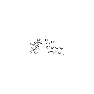 Nc1nc(=O)n([C@@H]2O[C@H](COP(=O)(O)OP(=O)(O)OP(=O)(O)O)C(O)C2O)cc1C=O